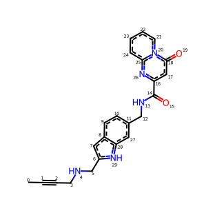 CC#CCNCc1cc2ccc(CNC(=O)c3cc(=O)n4ccccc4n3)cc2[nH]1